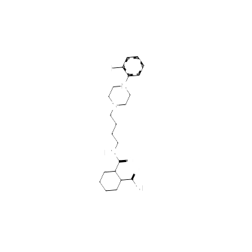 NC(=O)C1CCCCC1C(=O)NCCCCN1CCN(c2ccccc2Cl)CC1